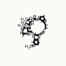 COc1ccc2nc3c(nc2c1)O[C@H]1CN(C(=O)[C@H](C(C)(C)C)NC(=O)O[C@@H]2CCC[C@H]2CCCCCC3)[C@H](C(C)=O)[C@@H]1CC(F)(F)F